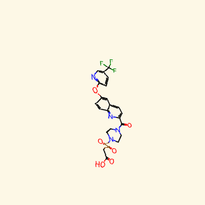 O=C(O)CS(=O)(=O)N1CCN(C(=O)c2ccc3cc(Oc4ccc(C(F)(F)F)cn4)ccc3n2)CC1